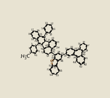 Cc1ccc(-c2c3c(c(-c4ccccc4)c4ccccc24)-c2cccc4c(-c5cc(-c6ccc7c8ccccc8c8ccccc8c7c6)cc6c5sc5ccccc56)ccc-3c24)cc1